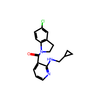 O=C(c1cccnc1NCC1CC1)N1CCc2cc(Cl)ccc21